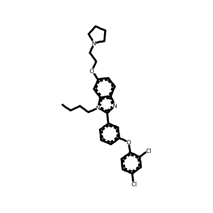 CCCCn1c(-c2cccc(Oc3ccc(Cl)cc3Cl)c2)nc2ccc(OCCN3CCCC3)cc21